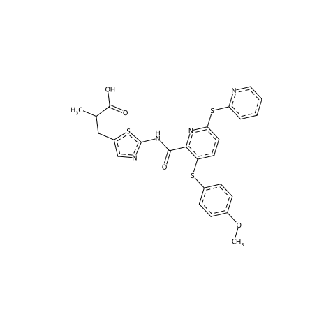 COc1ccc(Sc2ccc(Sc3ccccn3)nc2C(=O)Nc2ncc(CC(C)C(=O)O)s2)cc1